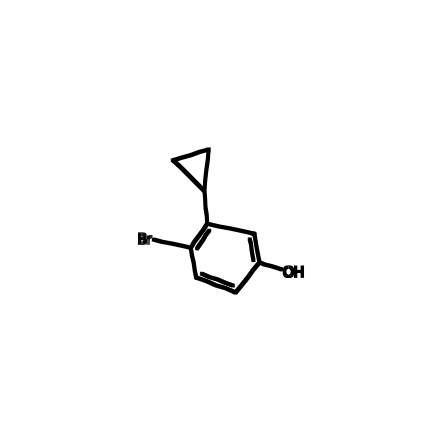 Oc1ccc(Br)c(C2CC2)c1